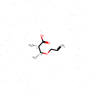 C=CCO[C@H](C)[C@H](C)C(=O)O